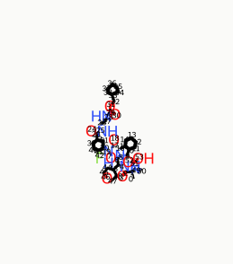 C[C@@H](C(=O)N[C@H](C(=O)N1Cc2ccccc2[C@H]1C(=O)Nc1cc(C(=O)NCCNC(=O)OCc2ccccc2)ccc1F)C1CCOCC1)N(C)C(=O)O